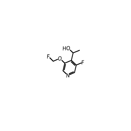 CC(O)c1c(F)cncc1OCF